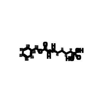 O=C(NNCCCCP(=O)(O)O)OCc1ccccc1